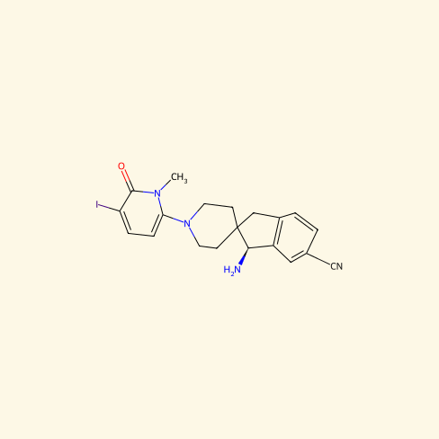 Cn1c(N2CCC3(CC2)Cc2ccc(C#N)cc2[C@H]3N)ccc(I)c1=O